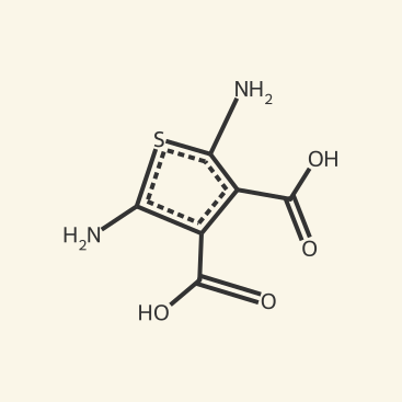 Nc1sc(N)c(C(=O)O)c1C(=O)O